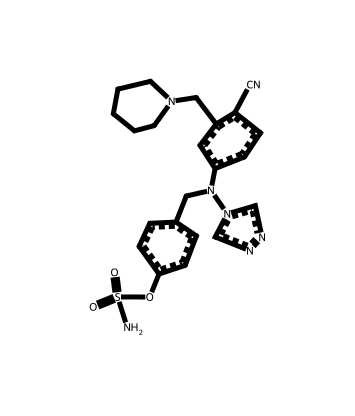 N#Cc1ccc(N(Cc2ccc(OS(N)(=O)=O)cc2)n2cnnc2)cc1CN1CCCCC1